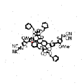 COc1cc(N=C(C#N)C#N)sc1-c1cc2c(s1)C1=CC3C=C4C(=CC3C=C1C(C(=O)OCc1ccccc1)(C(=O)OCc1ccccc1)O2)c1sc(-c2sc(N=C(C#N)C#N)cc2OC)cc1OC4(C(=O)OCc1ccccc1)C(=O)OCc1ccccc1